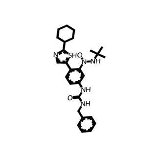 CC(C)(C)NN(O)c1cc(NC(=O)NCc2ccccc2)ccc1-c1cnc(C2CCCCC2)s1